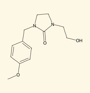 COc1ccc(CN2CCN(CCO)C2=O)cc1